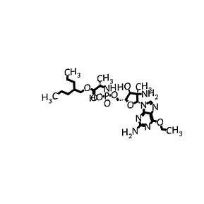 CCCC(CCC)COC(=O)[C@H](C)NP(=O)(O)OC[C@H]1O[C@@H](n2cnc3c(OCC)nc(N)nc32)[C@](C)(N)[C@@H]1O